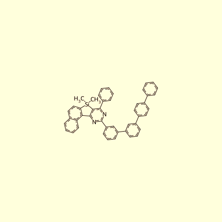 C[Si]1(C)c2ccc3ccccc3c2-c2nc(-c3cccc(-c4cccc(-c5ccc(-c6ccccc6)cc5)c4)c3)nc(-c3ccccc3)c21